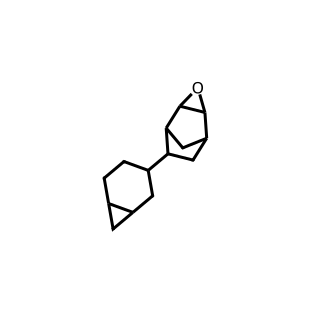 C1CC(C2CC3CC2C2OC32)CC2CC12